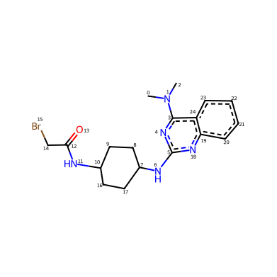 CN(C)c1nc(NC2CCC(NC(=O)CBr)CC2)nc2ccccc12